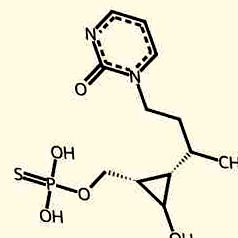 CC(CCn1cccnc1=O)[C@@H]1C(O)[C@@H]1COP(O)(O)=S